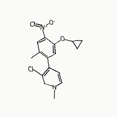 Cc1cc([N+](=O)[O-])c(OC2CC2)cc1C1=C(Cl)CN(C)C=C1